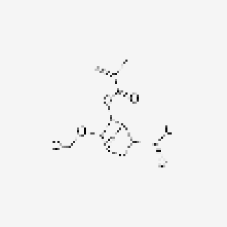 C=C(C)C(=O)OC1C(OC=O)C2=CC1C(C(=O)Cl)C2